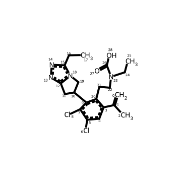 C=C(C)c1cc(Cl)c(Cl)c(C2Cc3nnc(CC)n3C2)c1CCN(CC)C(=O)O